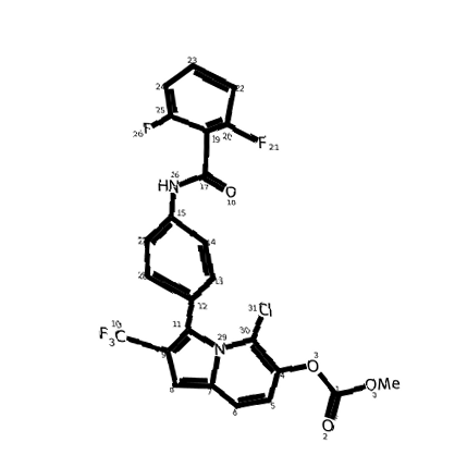 COC(=O)Oc1ccc2cc(C(F)(F)F)c(-c3ccc(NC(=O)c4c(F)cccc4F)cc3)n2c1Cl